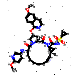 COc1ccc2c(O[C@@H]3C[C@H]4C(=O)N[C@]5(C(=O)NS(=O)(=O)C6CC6)C[C@H]5/C=C\CCCCC[C@H](Nc5ccc(OC)nc5)C(=O)N4C3)nccc2c1